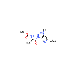 CCNc1cc(OC)ncc1NC(=O)[C@@H](C)NC(=O)OC(C)(C)C